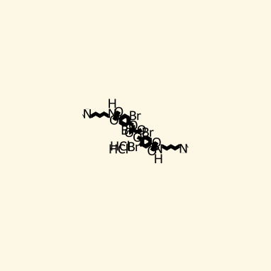 CN(C)CCCCCNS(=O)(=O)c1cc(Br)c(OC(=O)C(=O)Oc2c(Br)cc(S(=O)(=O)NCCCCCN(C)C)cc2Br)c(Br)c1.Cl.Cl